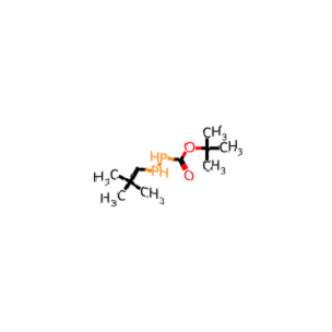 CC(C)(C)CPPC(=O)OC(C)(C)C